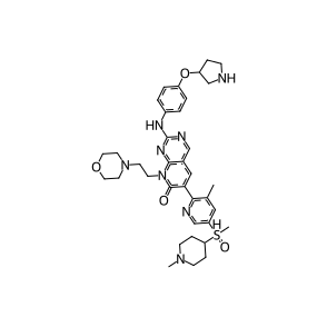 Cc1cc([SH](C)(=O)C2CCN(C)CC2)cnc1-c1cc2cnc(Nc3ccc(OC4CCNC4)cc3)nc2n(CCN2CCOCC2)c1=O